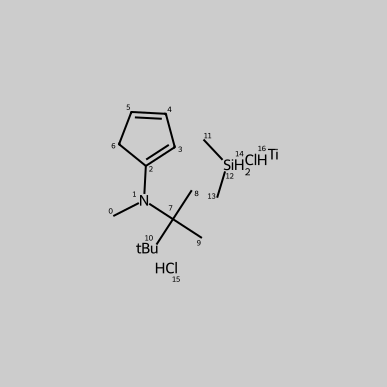 CN(C1=CC=CC1)C(C)(C)C(C)(C)C.C[SiH2]C.Cl.Cl.[Ti]